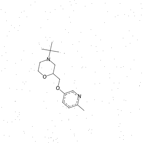 Cc1ccc(OCC2CN(C(C)(C)C)CCO2)cn1